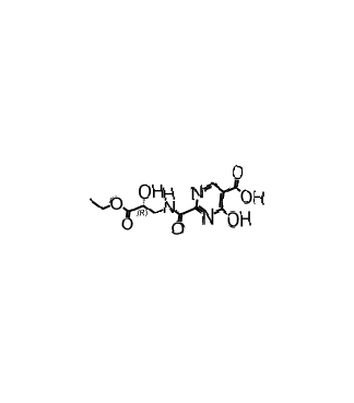 CCOC(=O)[C@H](O)CNC(=O)c1ncc(C(=O)O)c(O)n1